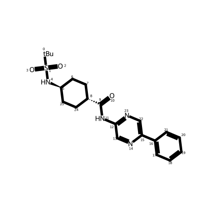 CC(C)(C)S(=O)(=O)N[C@H]1CC[C@H](C(=O)Nc2cnc(-c3ccccc3)cn2)CC1